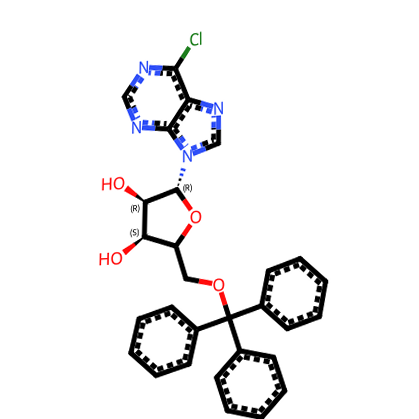 O[C@@H]1[C@H](O)C(COC(c2ccccc2)(c2ccccc2)c2ccccc2)O[C@H]1n1cnc2c(Cl)ncnc21